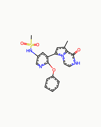 Cc1cc(-c2cc(NS(C)(=O)=O)cnc2Oc2ccccc2)n2cc[nH]c(=O)c12